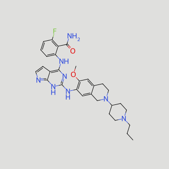 CCCN1CCC(N2CCc3cc(OC)c(Nc4nc(Nc5cccc(F)c5C(N)=O)c5ccnc-5[nH]4)cc3C2)CC1